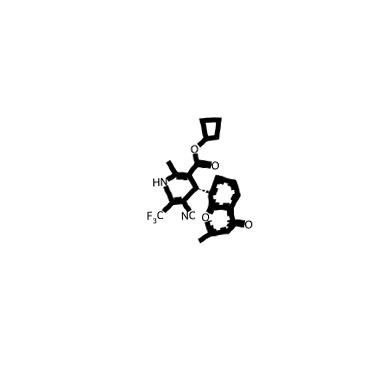 [C-]#[N+]C1=C(C(F)(F)F)NC(C)=C(C(=O)OC2CCC2)[C@@H]1c1cccc2c(=O)cc(C)oc12